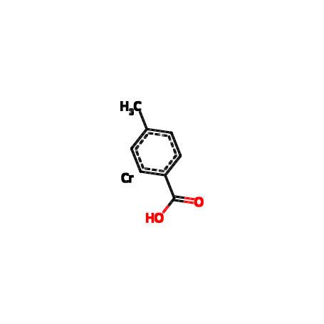 Cc1ccc(C(=O)O)cc1.[Cr]